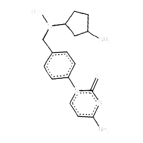 CN(Cc1ccc(-n2ccc(N)nc2=O)cc1)C1CCC(N)C1